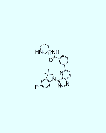 CC1(C)CN(c2ncnc3ccc(-c4cccc(C(=O)N[C@@H]5CCCNC5)c4)nc23)c2ccc(F)cc21